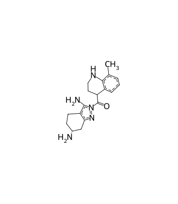 Cc1cccc2c1NCCC2C(=O)n1nc2c(c1N)CC[C@@H](N)C2